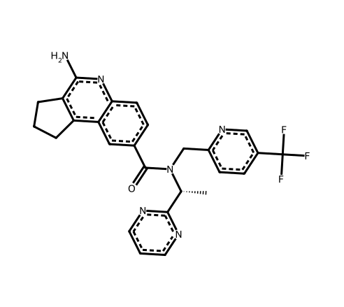 C[C@H](c1ncccn1)N(Cc1ccc(C(F)(F)F)cn1)C(=O)c1ccc2nc(N)c3c(c2c1)CCC3